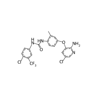 Cc1cc(Oc2cc(Cl)cnc2N)ccc1NC(=O)Nc1ccc(Cl)c(C(F)(F)F)c1